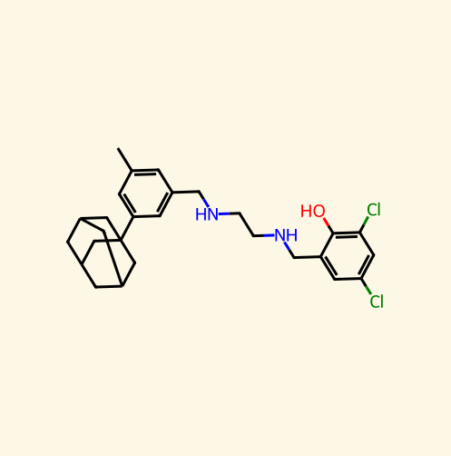 Cc1cc(CNCCNCc2cc(Cl)cc(Cl)c2O)cc(C23CC4CC(CC(C4)C2)C3)c1